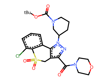 CC(C)(C)OC(=O)N1CCCC(n2nc(C(=O)N3CCOCC3)c3c2-c2cccc(Cl)c2S(=O)(=O)C3)C1